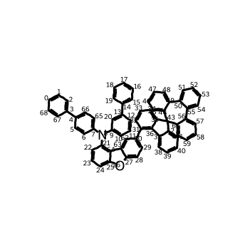 c1ccc(-c2ccc(N(c3cccc(-c4ccccc4)c3)c3cccc4oc5ccc(-c6cccc7c6-c6ccccc6C76c7ccccc7-c7ccccc7-c7ccccc76)cc5c34)cc2)cc1